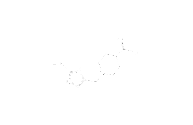 Nc1ncc(CN2CCC(C(=O)[O-])CC2)s1.[Li+]